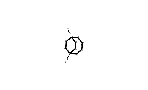 C1CC[C@H]2CC[C@@H](C1)CC2